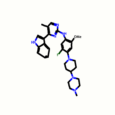 COc1cc(N2CCC(N3CCN(C)CC3)CC2)c(F)cc1Nc1ncc(C)c(-c2c[nH]c3ccccc23)n1